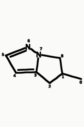 CC1Cc2ccnn2C1